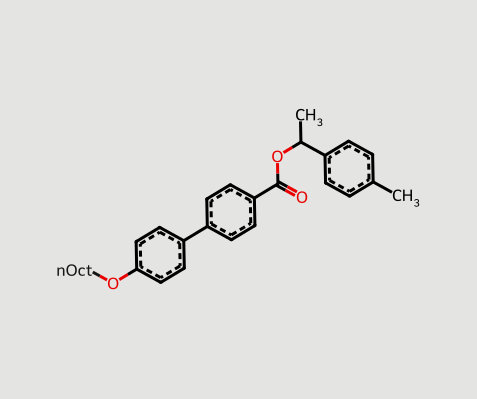 CCCCCCCCOc1ccc(-c2ccc(C(=O)OC(C)c3ccc(C)cc3)cc2)cc1